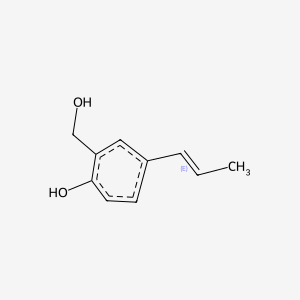 C/C=C/c1ccc(O)c(CO)c1